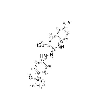 CC(C)c1ccc(N/C(=N/Nc2ccc(S(C)(=O)=O)cc2)C(=O)C(C)(C)C)cc1